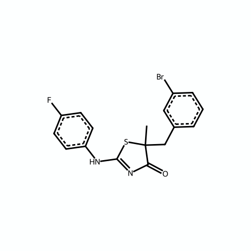 CC1(Cc2cccc(Br)c2)SC(Nc2ccc(F)cc2)=NC1=O